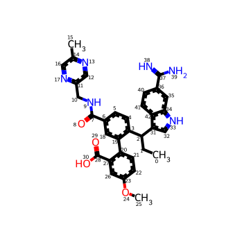 CCC(c1ccc(C(=O)NCc2cnc(C)cn2)cc1-c1ccc(OC)cc1C(=O)O)c1c[nH]c2cc(C(=N)N)ccc12